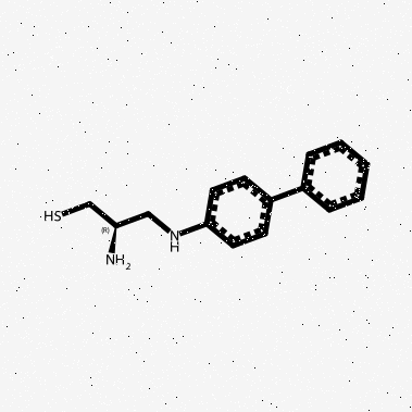 N[C@@H](CS)CNc1ccc(-c2ccccc2)cc1